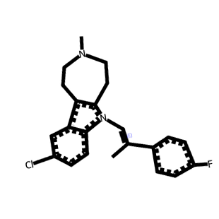 C/C(=C\n1c2c(c3cc(Cl)ccc31)CCN(C)CC2)c1ccc(F)cc1